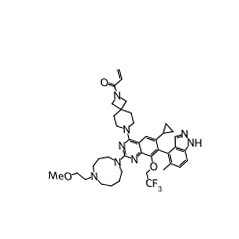 C=CC(=O)N1CC2(CCN(c3nc(N4CCCCN(CCOC)CCC4)nc4c(OCC(F)(F)F)c(-c5c(C)ccc6[nH]ncc56)c(C5CC5)cc34)CC2)C1